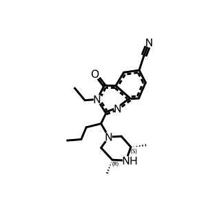 CCCC(c1nc2ccc(C#N)cc2c(=O)n1CC)N1C[C@@H](C)N[C@@H](C)C1